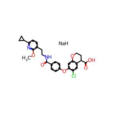 COc1nc(C2CC2)ccc1CCNC(=O)c1ccc(Oc2cc3c(cc2Cl)C(C(=O)O)CCO3)cc1.[NaH]